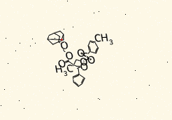 Cc1ccc(S(=O)(=O)OCC(C)(C(=O)OCOC23CC4CC(CC(C4)C2)C3)C(=O)c2ccccc2)cc1